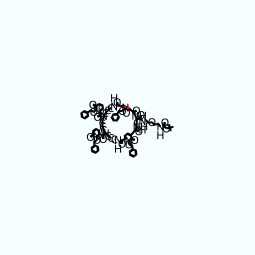 CC(C)(C)OC(=O)NCCOCCNC(=O)C1CNC(=O)c2ccc(n(OCc3ccccc3)c2=O)C(=O)NCCCN(C(=O)c2cccc(=O)n2OCc2ccccc2)CCCCN(C(=O)c2cccc(=O)n2OCc2ccccc2)CCCNC(=O)c2ccc(c(=O)n2OCc2ccccc2)C(=O)N1